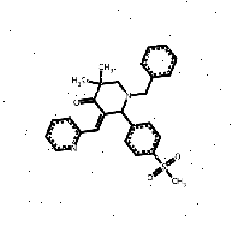 CC1(C)CN(Cc2ccccc2)C(c2ccc(S(C)(=O)=O)cc2)C(=Cc2ccccn2)C1=O